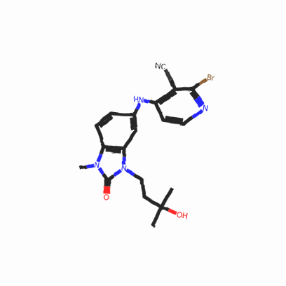 Cn1c(=O)n(CCC(C)(C)O)c2cc(Nc3ccnc(Br)c3C#N)ccc21